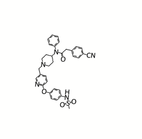 CS(=O)(=O)Nc1ccc(Oc2ccc(CN3CCC(N(C(=O)Cc4ccc(C#N)cc4)c4ccccc4)CC3)cn2)cc1